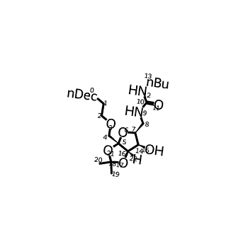 CCCCCCCCCCCCOC[C@@]12O[C@@H](CNC(=O)NCCCC)[C@@H](O)[C@@H]1OC(C)(C)O2